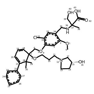 COc1cc(OCC2(OCCCN3CC[C@@H](O)C3)C=CC=C(c3ccccc3)C2(C)C)c(Cl)cc1CNC(C)(CO)C(=O)O